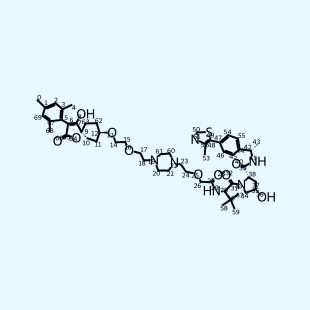 Cc1cc(C)c(C2=C(O)[C@]3(CC[C@H](OCCOCCN4CCN(CCOCC(=O)N[C@H](C(=O)N5C[C@H](O)C[C@H]5C(=O)N[C@@H](C)c5ccc(-c6scnc6C)cc5)C(C)(C)C)CC4)CC3)OC2=O)c(C)c1